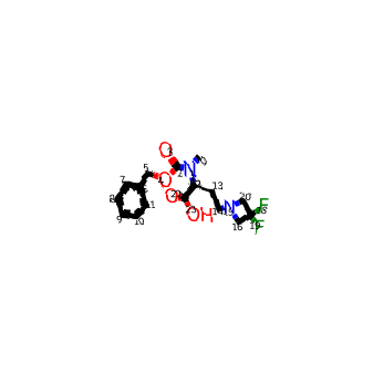 CN(C(=O)OCc1ccccc1)[C@@H](CCN1CC(F)(F)C1)C(=O)O